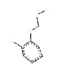 CCCCCCSCNc1ccccc1F